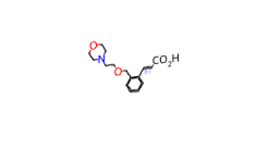 O=C(O)/C=C/c1ccccc1COCCN1CCOCC1